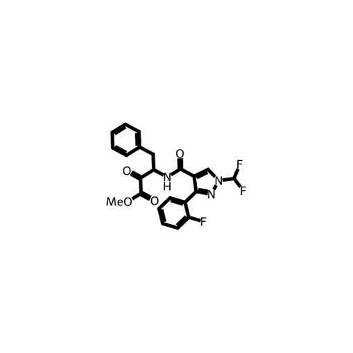 COC(=O)C(=O)C(Cc1ccccc1)NC(=O)c1cn(C(F)F)nc1-c1ccccc1F